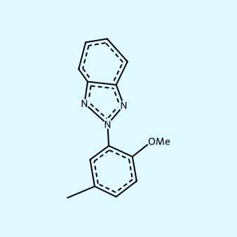 COc1ccc(C)cc1-n1nc2ccccc2n1